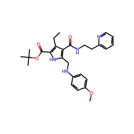 CCc1c(C(=O)OC(C)(C)C)[nH]c(CNc2ccc(OC)cc2)c1C(=O)NCCc1ccccn1